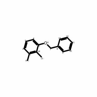 [CH2]c1cccc(OCc2ccccc2)c1C